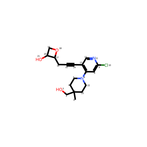 CC1(CO)CCN(c2cc(Cl)ncc2C#CCC2OCC2O)CC1